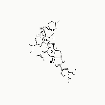 CCC(C)C(=O)O[C@H]1[C@H](O)[C@H]2[C@@H](CN3C[C@@H](C)CC[C@H]3[C@@]2(C)O)[C@@H]2C[C@]34O[C@]5(O)[C@@H](OC(=O)c6ccc(OC)c(OC)c6)CC[C@@]3(C)[C@@H]5C[C@@H](OC(C)=O)[C@H]4[C@@]21O